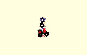 c1ccc2c(c1)Oc1ccccc1C21c2ccccc2N(c2ccc3c(c2)sc2nccnc23)c2ccccc21